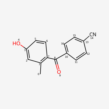 Cc1cc(O)ccc1C(=O)c1ccc(C#N)cc1